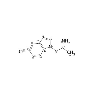 CC(N)Cn1ccc2cc(Cl)ccc21